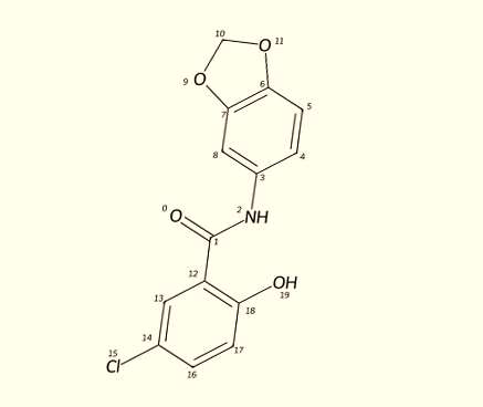 O=C(Nc1ccc2c(c1)OCO2)c1cc(Cl)ccc1O